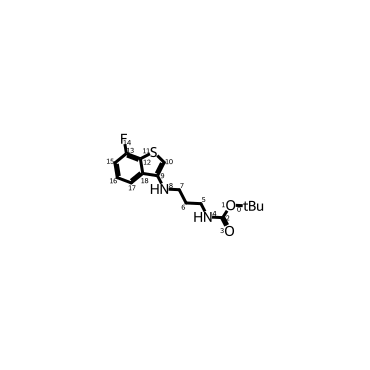 CC(C)(C)OC(=O)NCCCNc1csc2c(F)cccc12